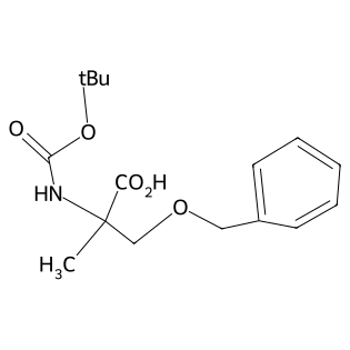 CC(C)(C)OC(=O)NC(C)(COCc1ccccc1)C(=O)O